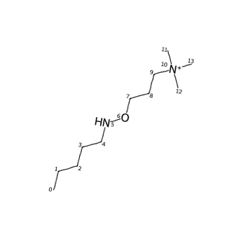 CCCCCNOCCC[N+](C)(C)C